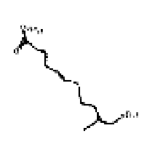 CCCCCCCCCC(C)CCCCCCCC(=O)OC